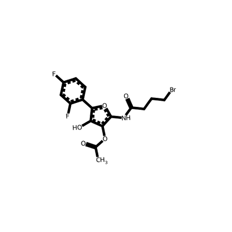 CC(=O)Oc1c(NC(=O)CCCBr)oc(-c2ccc(F)cc2F)c1O